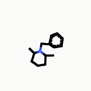 CC1C[CH]CC(C)N1Cc1ccccc1